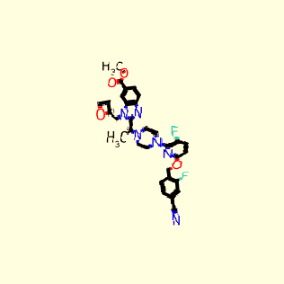 COC(=O)c1ccc2nc([C@H](C)N3CCN(c4nc(OCc5ccc(C#N)cc5F)ccc4F)CC3)n(C[C@@H]3CCO3)c2c1